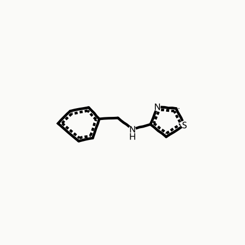 [c]1nc(NCc2ccccc2)cs1